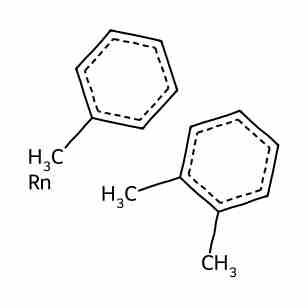 Cc1ccccc1.Cc1ccccc1C.[Rn]